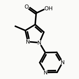 Cc1nn(-c2cncnc2)cc1C(=O)O